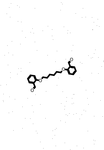 O=Cc1ccccc1OCCCCCCOc1ccccc1C=O